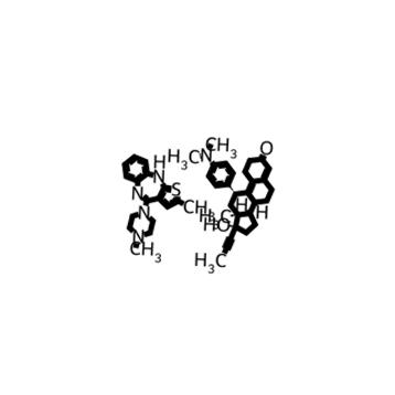 CC#C[C@]1(O)CC[C@H]2[C@@H]3CCC4=CC(=O)CCC4=C3[C@@H](c3ccc(N(C)C)cc3)C[C@@]21C.Cc1cc2c(s1)Nc1ccccc1N=C2N1CCN(C)CC1